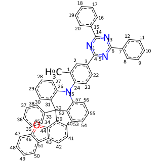 Cc1cc(-c2nc(-c3ccccc3)nc(-c3ccccc3)n2)ccc1N1c2ccccc2C(c2ccccc2)(c2cccc3c2oc2ccccc23)c2ccccc21